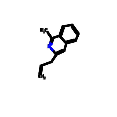 C=CCc1cc2ccccc2c(C)n1